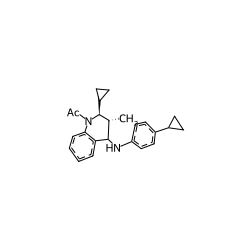 CC(=O)N1c2ccccc2C(Nc2ccc(C3CC3)cc2)[C@@H](C)[C@@H]1C1CC1